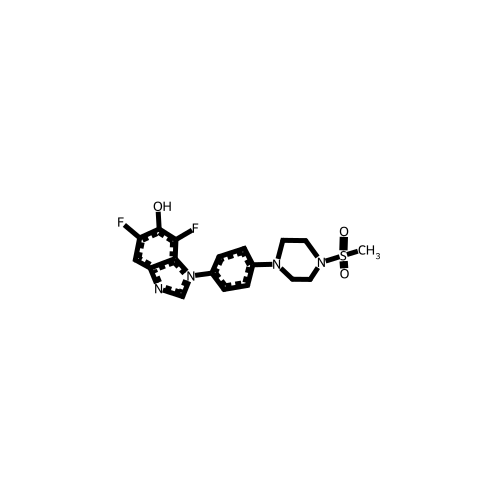 CS(=O)(=O)N1CCN(c2ccc(-n3cnc4cc(F)c(O)c(F)c43)cc2)CC1